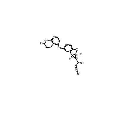 [N-]=[N+]=NC(=O)[C@@H]1[C@H]2Oc3ccc(Oc4ccnc5c4CCC(=O)N5)cc3[C@H]21